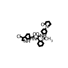 COc1ccccc1C(NC(=O)c1ccc2c(Cl)c[nH]c2c1)C(=O)Nc1ccc(-n2ccccc2=O)cc1